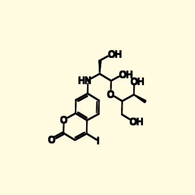 C[C@H](O)C(CO)OC(O)[C@H](CO)Nc1ccc2c(I)cc(=O)oc2c1